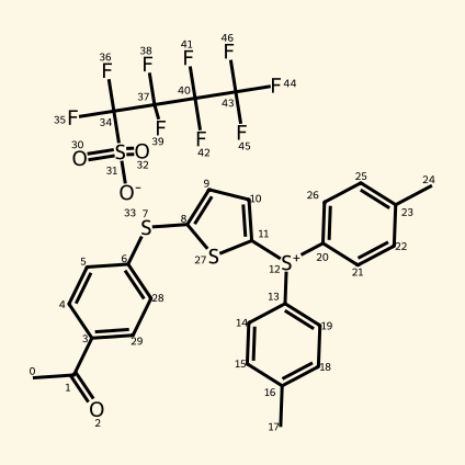 CC(=O)c1ccc(Sc2ccc([S+](c3ccc(C)cc3)c3ccc(C)cc3)s2)cc1.O=S(=O)([O-])C(F)(F)C(F)(F)C(F)(F)C(F)(F)F